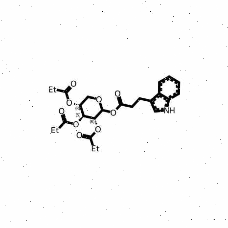 CCC(=O)O[C@H]1[C@H](OC(=O)CC)COC(OC(=O)CCc2c[nH]c3ccccc23)[C@@H]1OC(=O)CC